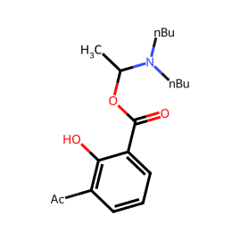 CCCCN(CCCC)C(C)OC(=O)c1cccc(C(C)=O)c1O